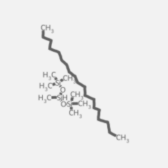 CCCCCCCCCCCCCCCCCCC.C[SiH](O[Si](C)(C)C)O[Si](C)(C)C